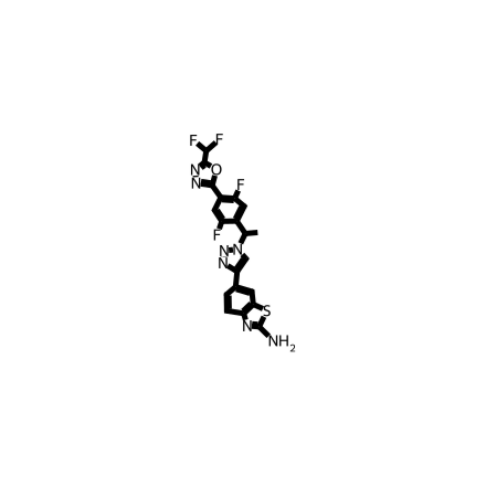 CC(c1cc(F)c(-c2nnc(C(F)F)o2)cc1F)n1cc(-c2ccc3nc(N)sc3c2)nn1